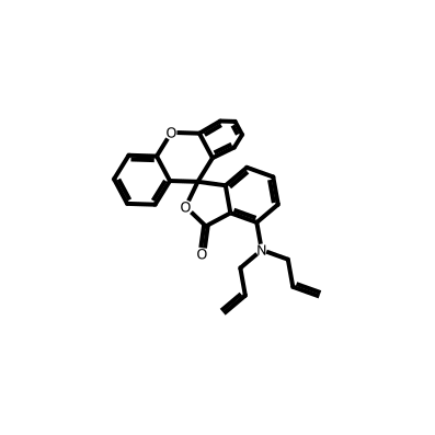 C=CCN(CC=C)c1cccc2c1C(=O)OC21c2ccccc2Oc2ccccc21